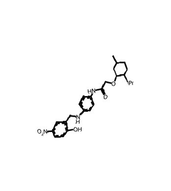 CC1CCC(C(C)C)C(OCC(=O)Nc2ccc(NCc3cc([N+](=O)[O-])ccc3O)cc2)C1